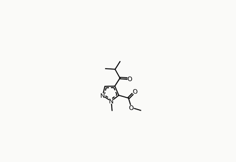 COC(=O)c1c(C(=O)C(C)C)cnn1C